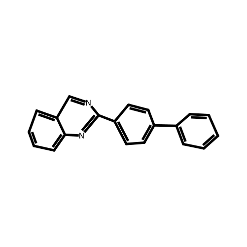 c1ccc(-c2ccc(-c3ncc4ccccc4n3)cc2)cc1